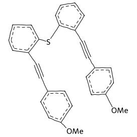 COc1ccc(C#Cc2ccccc2Sc2ccccc2C#Cc2ccc(OC)cc2)cc1